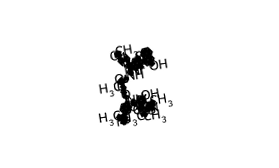 CC(=O)N1CCN(c2nc(NCCC(=O)N(C)CCOC[C@H](NC(=O)[C@@H]3C[C@@H](O)CN3C(=O)[C@@H](c3cc(C)no3)C(C)C)c3ccc(-c4scnc4C)cc3)nc3c(F)c(-c4cc(O)cc5ccccc45)c(Cl)cc23)CC1